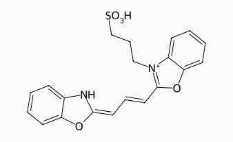 O=S(=O)(O)CCC[n+]1c(C=CC=C2Nc3ccccc3O2)oc2ccccc21